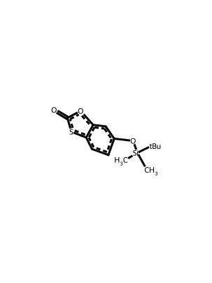 CC(C)(C)[Si](C)(C)Oc1ccc2sc(=O)oc2c1